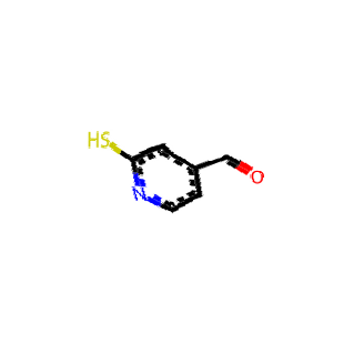 O=Cc1ccnc(S)c1